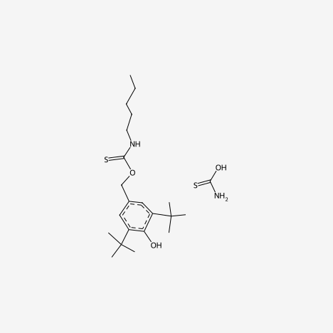 CCCCCNC(=S)OCc1cc(C(C)(C)C)c(O)c(C(C)(C)C)c1.NC(O)=S